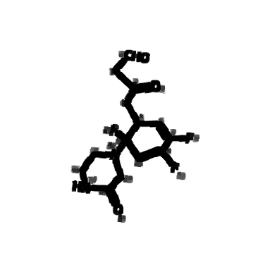 O=CCC(=O)CC1C=C(F)C(F)=CC1(F)N1CCNC(=O)C1